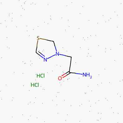 Cl.Cl.NC(=O)CN1CSC=N1